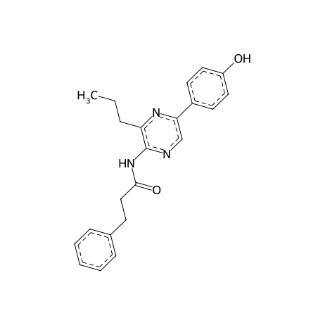 CCCc1nc(-c2ccc(O)cc2)cnc1NC(=O)CCc1ccccc1